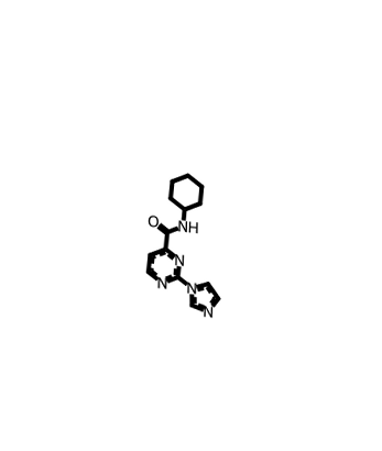 O=C(NC1CCCCC1)c1ccnc(-n2ccnc2)n1